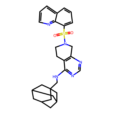 O=S(=O)(c1cccc2cccnc12)N1CCc2c(ncnc2NCC23CC4CC(CC(C4)C2)C3)C1